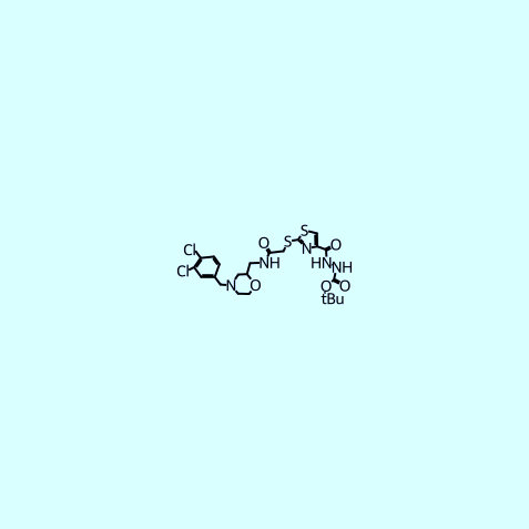 CC(C)(C)OC(=O)NNC(=O)c1csc(SCC(=O)NCC2CN(Cc3ccc(Cl)c(Cl)c3)CCO2)n1